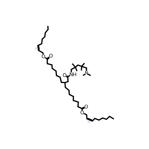 CCCCCC/C=C\COC(=O)CCCCCCCC(CCCCCCCC(=O)OC/C=C\CCCCCC)CC(=O)NCC(C)(C)CC(C)(C)CN(C)C